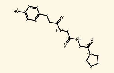 O=C(CCc1ccc(O)cc1)NCC(=O)NCC(=O)N1CCCC1